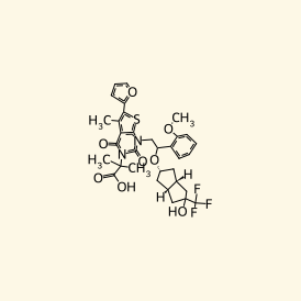 COc1ccccc1C(Cn1c(=O)n(C(C)(C)C(=O)O)c(=O)c2c(C)c(-c3ccco3)sc21)O[C@@H]1C[C@@H]2CC(O)(C(F)(F)F)C[C@@H]2C1